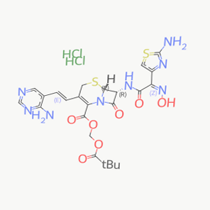 CC(C)(C)C(=O)OCOC(=O)C1=C(/C=C/c2cncnc2N)CS[C@@H]2[C@H](NC(=O)/C(=N\O)c3csc(N)n3)C(=O)N12.Cl.Cl